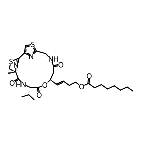 CCCCCCCC(=O)OCC/C=C/[C@@H]1CC(=O)NCc2nc(cs2)C2=N[C@@](C)(CS2)C(=O)N[C@@H](C(C)C)C(=O)O1